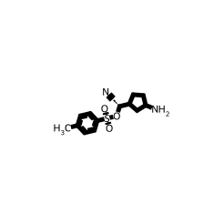 Cc1ccc(S(=O)(=O)O[C@H](C#N)C2CCC(N)C2)cc1